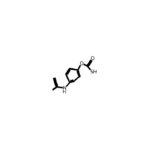 C=C(C)Nc1ccc(OC(=O)S)cc1